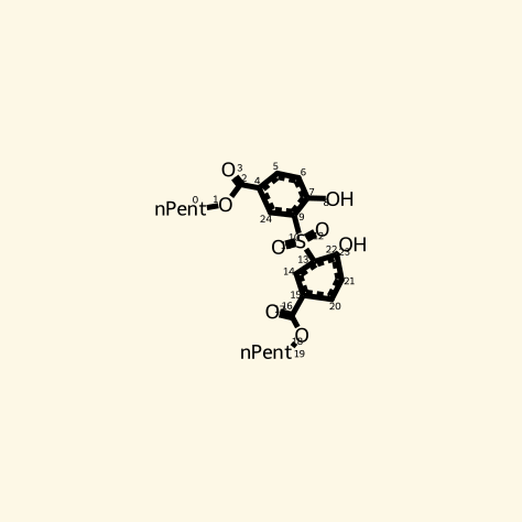 CCCCCOC(=O)c1ccc(O)c(S(=O)(=O)c2cc(C(=O)OCCCCC)ccc2O)c1